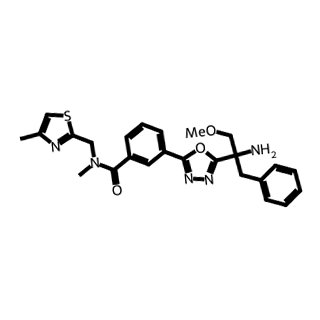 COCC(N)(Cc1ccccc1)c1nnc(-c2cccc(C(=O)N(C)Cc3nc(C)cs3)c2)o1